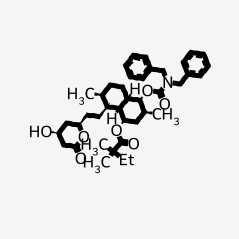 CCC(C)(C)C(=O)O[C@H]1C[C@H](C)[C@@H](OC(=O)N(Cc2ccccc2)Cc2ccccc2)[C@@H]2CC[C@H](C)[C@H](CC[C@@H]3C[C@@H](O)CC(=O)O3)[C@H]21